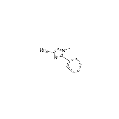 Cn1cc(C#N)nc1-c1ccccc1